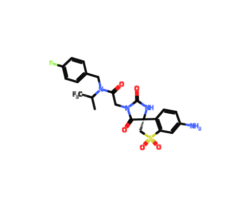 CC(N(Cc1ccc(F)cc1)C(=O)CN1C(=O)N[C@]2(CS(=O)(=O)c3cc(N)ccc32)C1=O)C(F)(F)F